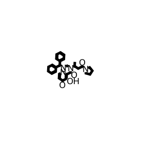 CC(CC(=O)N1CCCC1)N1CN(C(C2=CCCC=C2)c2ccccc2)n2ccc(=O)c(O)c2C1=O